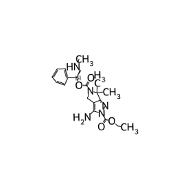 CCOC(=O)n1nc2c(c1N)CN(C(=O)O[C@H](CNC)c1ccccc1)C2(C)C